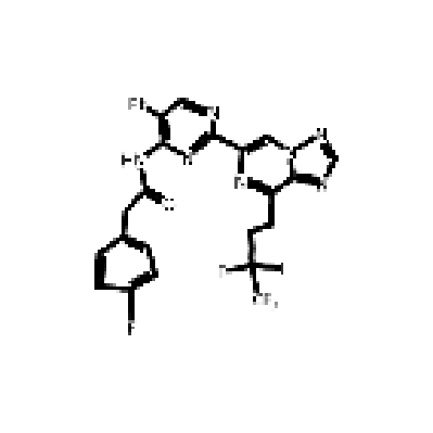 CCc1cnc(-c2cn3ncnc3c(CCC(F)(F)C(F)(F)F)n2)nc1NC(=O)Cc1ccc(F)cc1